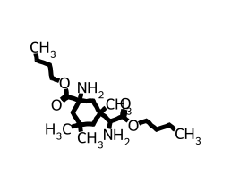 CCCCOC(=O)C(N)C1(C)CC(C)(C)CC(N)(C(=O)OCCCC)C1